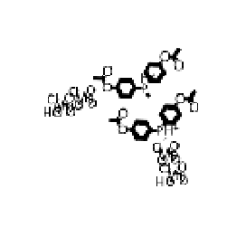 CC(=O)Oc1ccc([PH+](C)c2ccc(OC(C)=O)cc2)cc1.CC(=O)Oc1ccc([PH+](C)c2ccc(OC(C)=O)cc2)cc1.[O]=[Mn](=[O])([O-])[Cl].[O]=[Mn](=[O])([O-])[Cl].[O]=[Mn](=[O])([OH])[Cl].[O]=[Mn](=[O])([OH])[Cl]